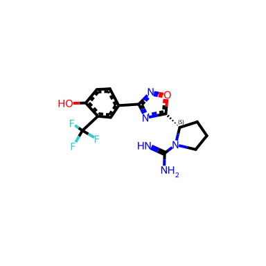 N=C(N)N1CCC[C@H]1c1nc(-c2ccc(O)c(C(F)(F)F)c2)no1